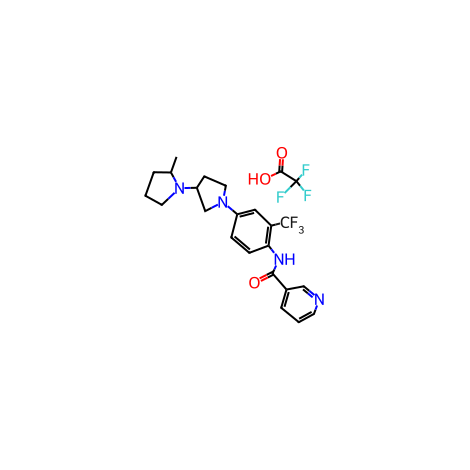 CC1CCCN1C1CCN(c2ccc(NC(=O)c3cccnc3)c(C(F)(F)F)c2)C1.O=C(O)C(F)(F)F